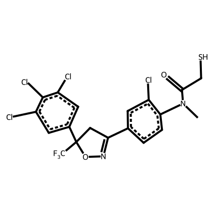 CN(C(=O)CS)c1ccc(C2=NOC(c3cc(Cl)c(Cl)c(Cl)c3)(C(F)(F)F)C2)cc1Cl